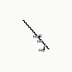 CCCCCCCCCCCCCCNC(=O)CCNCCCN(CCC)CCO